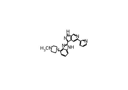 CN1CCN(c2cccc3[nH]c(-c4n[nH]c5cnc(-c6cccnc6)cc45)nc23)CC1